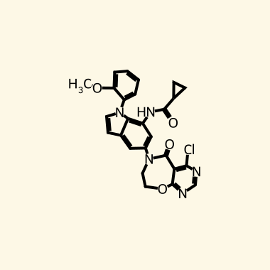 COc1ccccc1-n1ccc2cc(N3CCOc4ncnc(Cl)c4C3=O)cc(NC(=O)C3CC3)c21